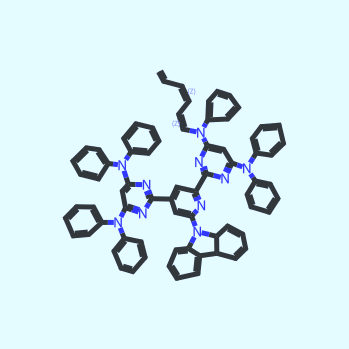 C=C/C=C\C=C/N(c1ccccc1)c1cc(N(c2ccccc2)c2ccccc2)nc(-c2cc(-c3nc(N(c4ccccc4)c4ccccc4)cc(N(c4ccccc4)c4ccccc4)n3)cc(N3c4ccccc4C4C=CC=CC43)n2)n1